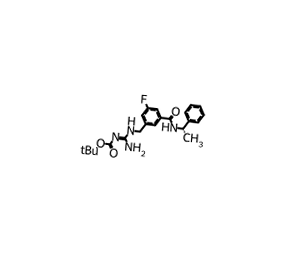 C[C@H](NC(=O)c1cc(F)cc(CN/C(N)=N/C(=O)OC(C)(C)C)c1)c1ccccc1